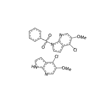 COc1cnc2[nH]ccc2c1Cl.COc1cnc2c(ccn2S(=O)(=O)c2ccccc2)c1Cl